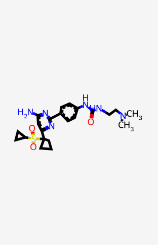 CN(C)CCNC(=O)Nc1ccc(-c2nc(N)cc(C3(S(=O)(=O)C4CC4)CCC3)n2)cc1